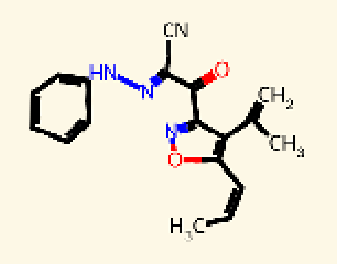 C=C(C)c1c(C(=O)/C(C#N)=N/Nc2ccccc2)noc1/C=C\C